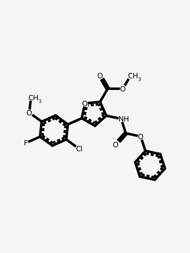 COC(=O)c1oc(-c2cc(OC)c(F)cc2Cl)cc1NC(=O)Oc1ccccc1